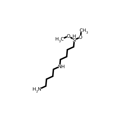 CO[SiH](CCCCNCCCCN)OC